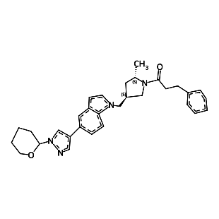 C[C@H]1C[C@H](Cn2ccc3cc(-c4cnn(C5CCCCO5)c4)ccc32)CN1C(=O)CCc1ccccc1